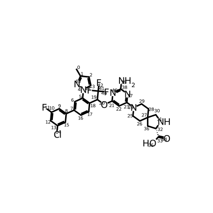 Cc1ccn(-c2cc(-c3cc(F)cc(Cl)c3)ccc2C(Oc2cc(N3CCC4(CC3)CN[C@H](C(=O)O)C4)nc(N)n2)C(F)(F)F)n1